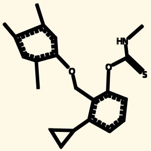 CNC(=S)Oc1cccc(C2CC2)c1COc1cc(C)c(C)cc1C